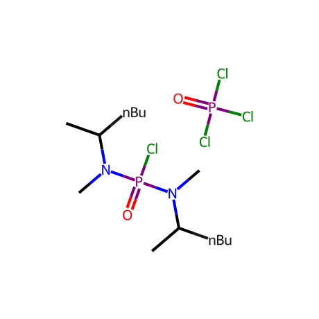 CCCCC(C)N(C)P(=O)(Cl)N(C)C(C)CCCC.O=P(Cl)(Cl)Cl